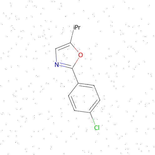 CC(C)c1cnc(-c2ccc(Cl)cc2)o1